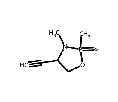 C#CC1COP(C)(=S)N1C